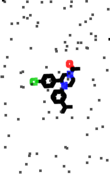 CC(=O)N1CCN(c2cccc(C(C)C)c2)C(c2ccc(Cl)cc2)C1